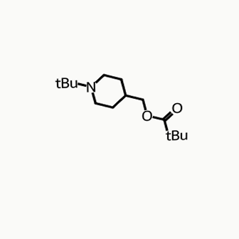 CC(C)(C)C(=O)OCC1CCN(C(C)(C)C)CC1